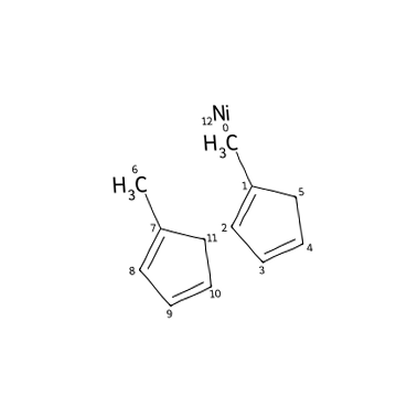 CC1=CC=CC1.CC1=CC=CC1.[Ni]